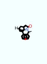 C[C@@H](c1ccccc1)N1C(=O)C=C2C[C@H]3C=C[C@]21C(c1ccccc1)=C3